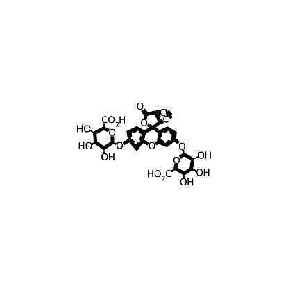 O=C1OC2(c3ccc(O[C@@H]4O[C@H](C(=O)O)[C@@H](O)[C@H](O)[C@H]4O)cc3Oc3cc(O[C@@H]4O[C@H](C(=O)O)[C@@H](O)[C@H](O)[C@H]4O)ccc32)c2ccccc21